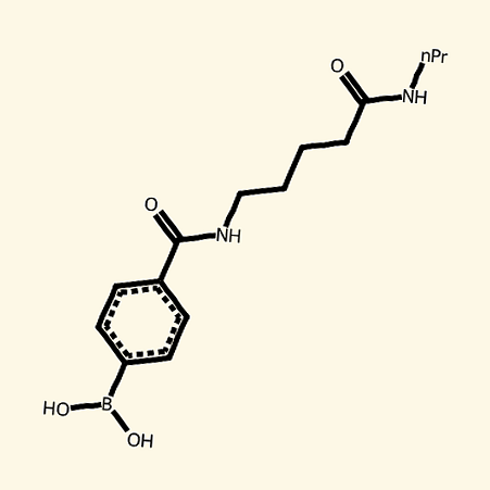 CCCNC(=O)CCCCNC(=O)c1ccc(B(O)O)cc1